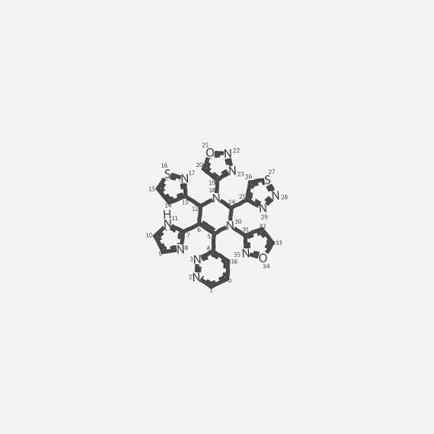 c1cnnc(C2=C(c3ncc[nH]3)C(c3ccsn3)N(c3conn3)[C](c3csnn3)N2c2ccon2)c1